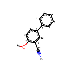 COc1ccc(-c2ccccc2)cc1C#N